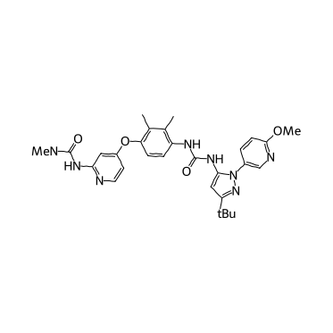 CNC(=O)Nc1cc(Oc2ccc(NC(=O)Nc3cc(C(C)(C)C)nn3-c3ccc(OC)nc3)c(C)c2C)ccn1